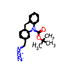 CC(C)(C)OC(=O)N1c2ccccc2Cc2ccc(CN=[N+]=[N-])cc21